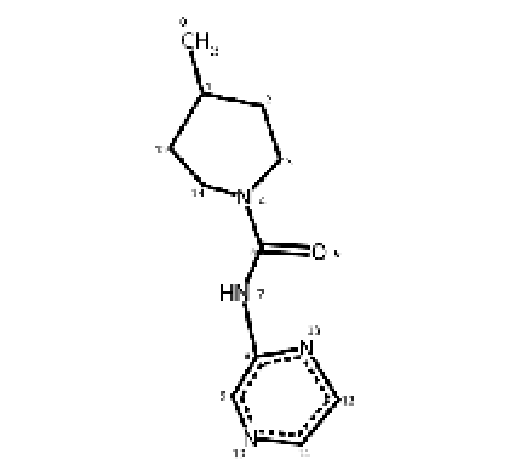 CC1CCN(C(=O)Nc2cnccn2)CC1